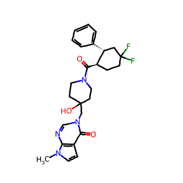 Cn1ccc2c(=O)n(CC3(O)CCN(C(=O)[C@@H]4CCC(F)(F)C[C@H]4c4ccccc4)CC3)cnc21